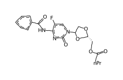 CCCC(=O)OC[C@H]1OCC(n2cc(F)c(NC(=O)c3ccccc3)nc2=O)O1